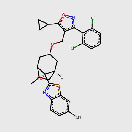 CC1C[C@@H]2C[C@H](OCc3c(-c4c(Cl)cccc4Cl)noc3C3CC3)CC1[C@]2(O)c1nc2ccc(C#N)cc2s1